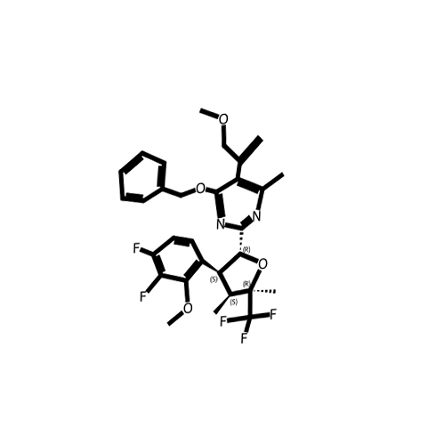 C=C(COC)c1c(C)nc([C@@H]2O[C@@](C)(C(F)(F)F)[C@@H](C)[C@H]2c2ccc(F)c(F)c2OC)nc1OCc1ccccc1